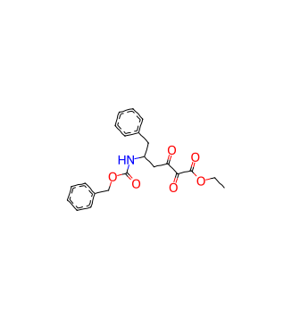 CCOC(=O)C(=O)C(=O)CC(Cc1ccccc1)NC(=O)OCc1ccccc1